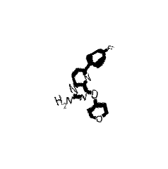 Nc1nc(OC2CCOCC2)c2nc(-c3ccc(F)cc3)ccc2n1